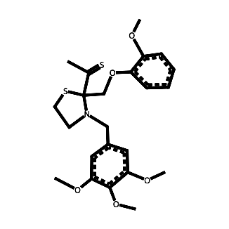 COc1ccccc1OCC1(C(C)=S)SCCN1Cc1cc(OC)c(OC)c(OC)c1